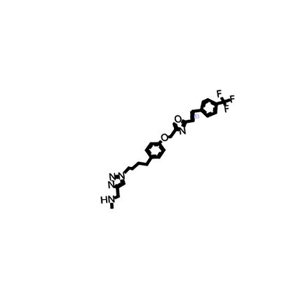 CNCc1cn(CCCCc2ccc(OCc3coc(/C=C/c4ccc(C(F)(F)F)cc4)n3)cc2)nn1